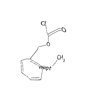 CCCCCCCC.O=C(Cl)OCc1ccccc1